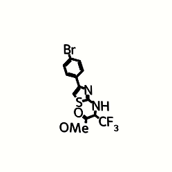 COC(=O)C(Nc1nc(-c2ccc(Br)cc2)cs1)C(F)(F)F